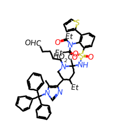 CCC(=O)N(C(=O)CC)c1c(-c2cccs2)cccc1S(=O)(=O)NC1(C(=O)O)CC(CC)C(c2ncn(C(c3ccccc3)(c3ccccc3)c3ccccc3)c2C)CN1CCCCC=O